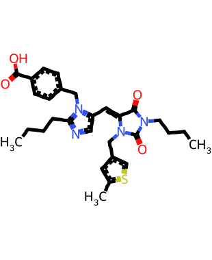 CCCCc1ncc(C=C2C(=O)N(CCCC)C(=O)N2Cc2csc(C)c2)n1Cc1ccc(C(=O)O)cc1